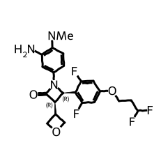 CNc1ccc(N2C(=O)[C@H](C3COC3)[C@@H]2c2c(F)cc(OCCC(F)F)cc2F)cc1N